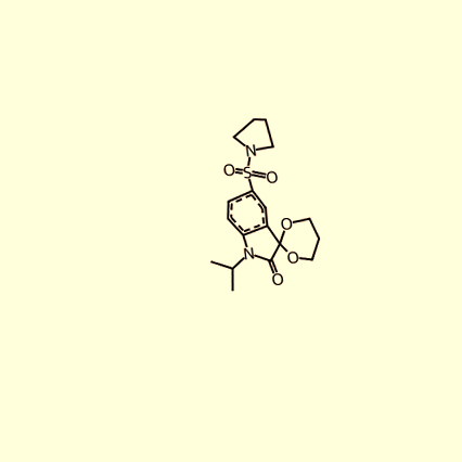 CC(C)N1C(=O)C2(OCCCO2)c2cc(S(=O)(=O)N3CCCC3)ccc21